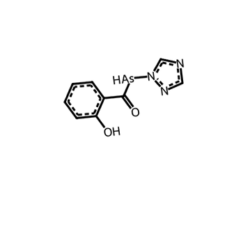 O=C([AsH]n1cncn1)c1ccccc1O